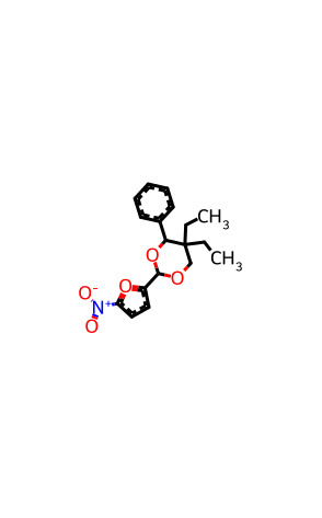 CCC1(CC)COC(c2ccc([N+](=O)[O-])o2)OC1c1ccccc1